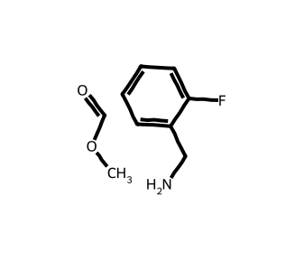 COC=O.NCc1ccccc1F